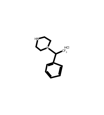 Cl.FC(F)(F)C(c1ccccc1)N1CCNCC1